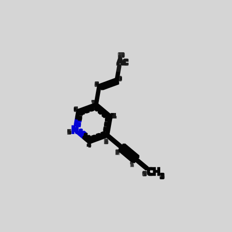 CC#Cc1cncc(C=CC(C)=O)c1